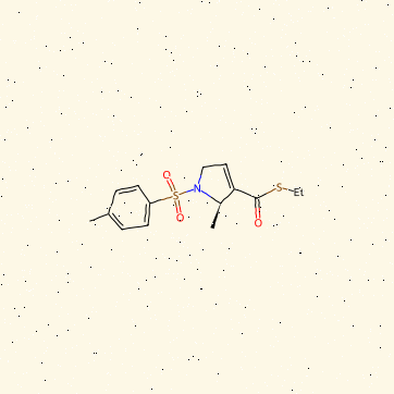 CCSC(=O)C1=CCN(S(=O)(=O)c2ccc(C)cc2)[C@@H]1C